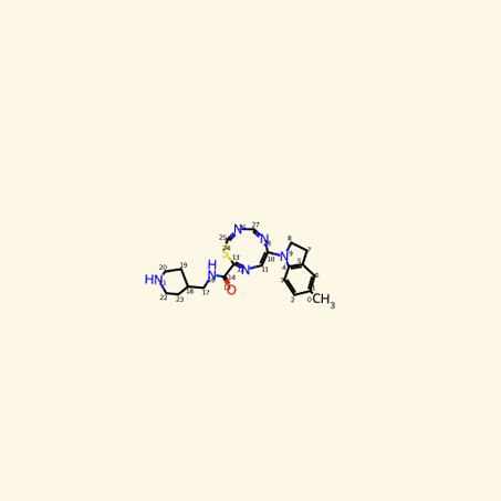 Cc1ccc2c(c1)CCN2c1cnc(C(=O)NCC2CCNCC2)scncn1